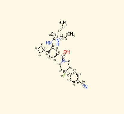 CCC[C@H](CC)NC(C)Nc1cc(C(O)N2CCC(F)(c3ccc(C#N)cc3)CC2)ccc1C1CCC1